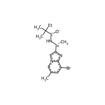 CCC(C)(C)[S+]([O-])N[C@H](C)c1cn2cc(C)cc(Br)c2n1